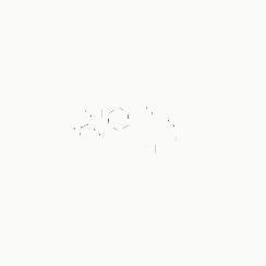 CCSc1cc(N/C(N)=N/C)ccc1CN1CCN(CC)CC1